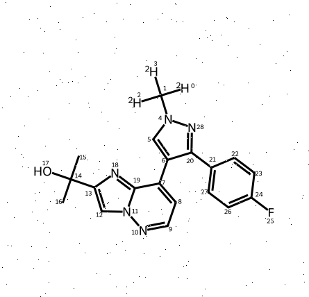 [2H]C([2H])([2H])n1cc(-c2ccnn3cc(C(C)(C)O)nc23)c(-c2ccc(F)cc2)n1